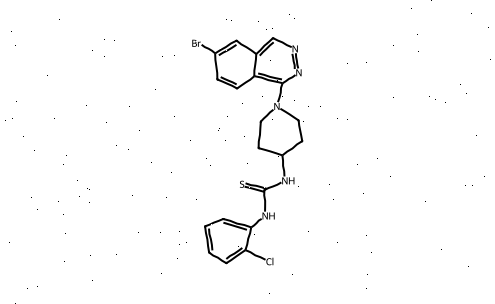 S=C(Nc1ccccc1Cl)NC1CCN(c2nncc3cc(Br)ccc23)CC1